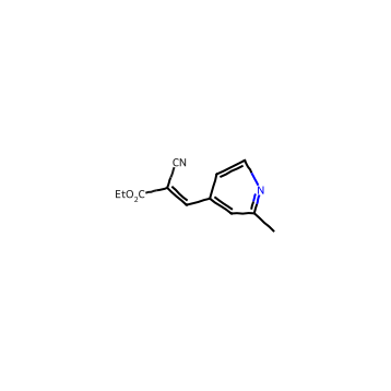 CCOC(=O)C(C#N)=Cc1ccnc(C)c1